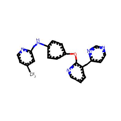 FC(F)(F)c1ccnc(Nc2ccc(Oc3ncccc3-c3ccncn3)cc2)c1